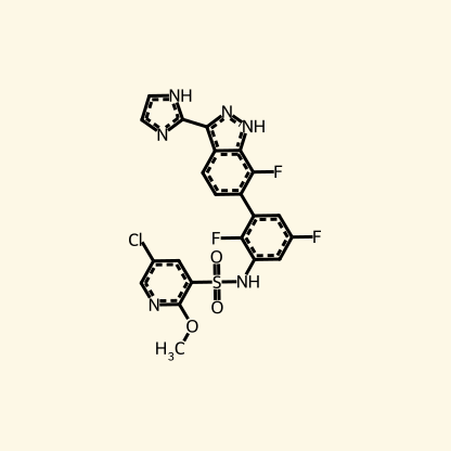 COc1ncc(Cl)cc1S(=O)(=O)Nc1cc(F)cc(-c2ccc3c(-c4ncc[nH]4)n[nH]c3c2F)c1F